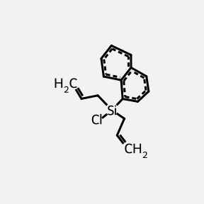 C=CC[Si](Cl)(CC=C)c1cccc2ccccc12